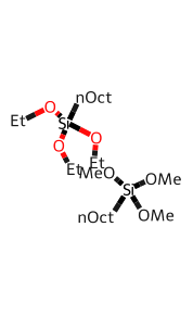 CCCCCCCC[Si](OC)(OC)OC.CCCCCCCC[Si](OCC)(OCC)OCC